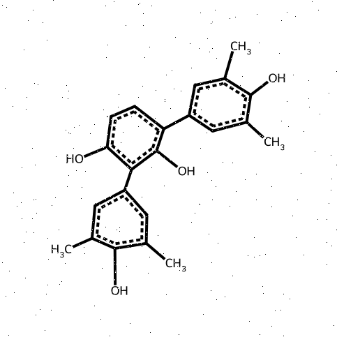 Cc1cc(-c2c[c]c(O)c(-c3cc(C)c(O)c(C)c3)c2O)cc(C)c1O